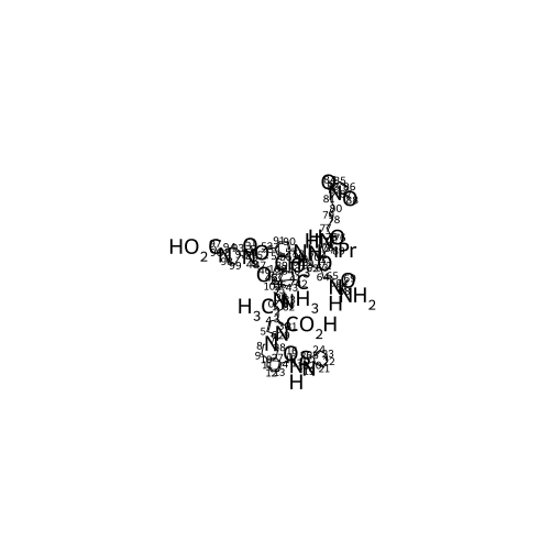 Cc1c(-c2ccc(N3CCc4cccc(C(=O)Nc5nc6ccccc6s5)c4C3)nc2C(=O)O)cnn1CC12CC3(C)CC(C)(C1)CC(OCCN(C(=O)OCc1ccc(NC(=O)[C@H](CCCCNC(N)=O)NC(=O)[C@@H](NC(=O)CCCCCN4C(=O)C=CC4=O)C(C)C)cc1)C1CCN(CC(=O)O)CC1)(C3)C2